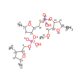 [3H]C1CC(OP(=O)(O)OCC2OC([3H])CC2C(C)C)C(CSP(=O)(O)OC2CC(B)OC2COC(C)C)O1